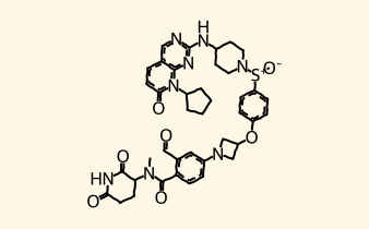 CN(C(=O)c1ccc(N2CC(Oc3ccc([S+]([O-])N4CCC(Nc5ncc6ccc(=O)n(C7CCCC7)c6n5)CC4)cc3)C2)cc1C=O)C1CCC(=O)NC1=O